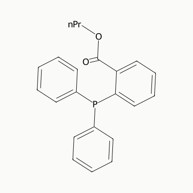 CCCOC(=O)c1ccccc1P(c1ccccc1)c1ccccc1